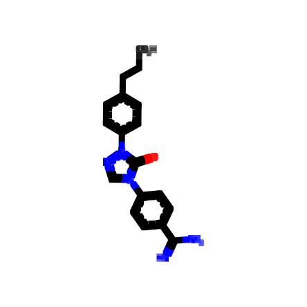 N=C(N)c1ccc(-n2cnn(-c3ccc(CCC(=O)O)cc3)c2=O)cc1